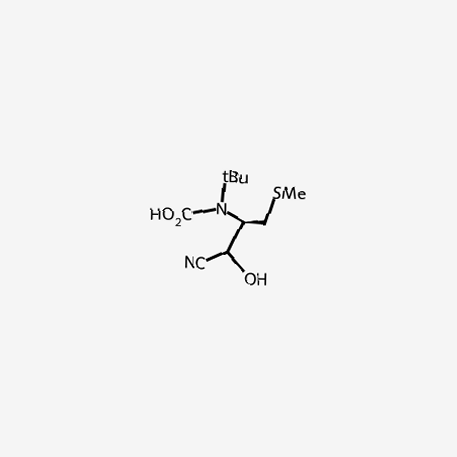 CSC[C@@H](C(O)C#N)N(C(=O)O)C(C)(C)C